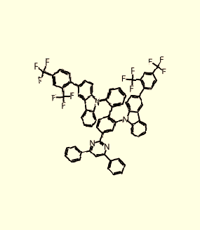 FC(F)(F)c1ccc(-c2ccc3c(c2)c2ccccc2n3-c2ccccc2-c2ccc(-c3nc(-c4ccccc4)cc(-c4ccccc4)n3)cc2-n2c3ccccc3c3cc(-c4ccc(C(F)(F)F)cc4C(F)(F)F)ccc32)c(C(F)(F)F)c1